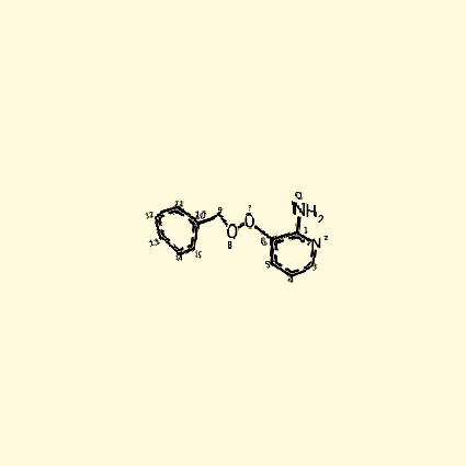 Nc1ncccc1OOCc1ccccc1